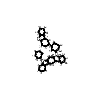 c1ccc(-n2c3ccccc3c3cc4c5ccccc5n(-c5cccc(-c6ccc7oc8ccccc8c7c6)c5)c4cc32)cc1